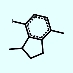 Cc1ccc(I)c2c1CCC2C